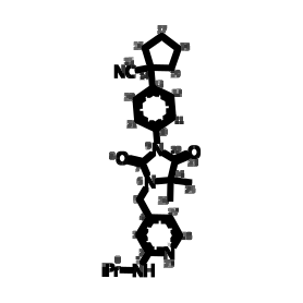 CC(C)Nc1cc(CN2C(=O)N(c3ccc(C4(C#N)CCCC4)cc3)C(=O)C2(C)C)ccn1